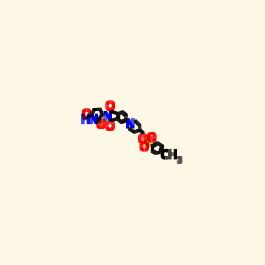 Cc1ccc(S(=O)(=O)OCC2CCN(c3ccc4c(c3)C(=O)N(C3CCC(=O)NC3=O)C4=O)CC2)cc1